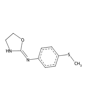 CSc1ccc(N=C2NCCO2)cc1